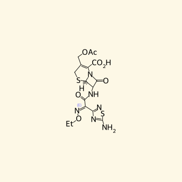 CCO/N=C(/C(=O)NC1C(=O)N2C(C(=O)O)=C(COC(C)=O)CS[C@H]12)c1nsc(N)n1